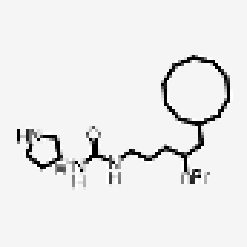 CCCC(CCCNC(=O)N[C@@H]1CCNC1)CC1CCCCCCCCC1